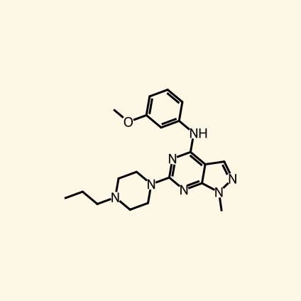 CCCN1CCN(c2nc(Nc3cccc(OC)c3)c3cnn(C)c3n2)CC1